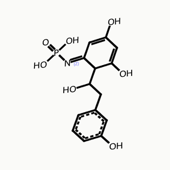 O=P(O)(O)/N=C1\C=C(O)C=C(O)C1C(O)Cc1cccc(O)c1